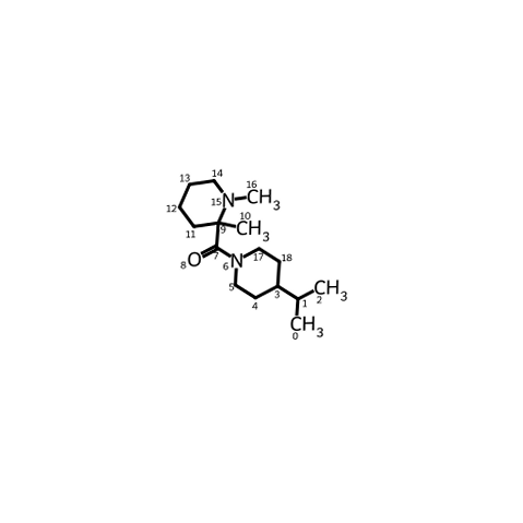 CC(C)C1CCN(C(=O)C2(C)CCCCN2C)CC1